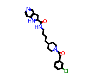 O=C(NCCCCC1CCN(C2OC2c2cccc(Cl)c2)CC1)C1Cc2cnccc2N1